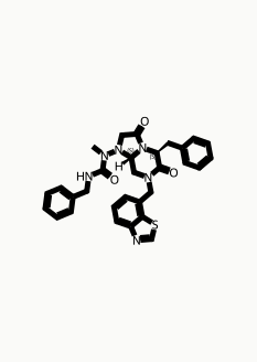 CN(C(=O)NCc1ccccc1)N1CC(=O)N2[C@@H](Cc3ccccc3)C(=O)N(Cc3cccc4ncsc34)C[C@@H]21